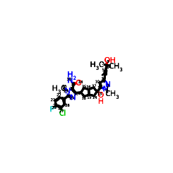 Cn1nc(C#CC(C)(C)O)cc1C1(O)CC2CC(c3nc(-c4ccc(F)c(Cl)c4)n(C)c3C(N)=O)CC2C1